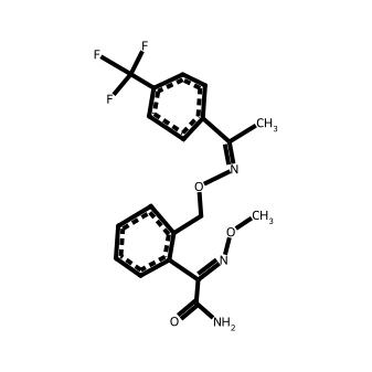 CO/N=C(/C(N)=O)c1ccccc1CO/N=C(/C)c1ccc(C(F)(F)F)cc1